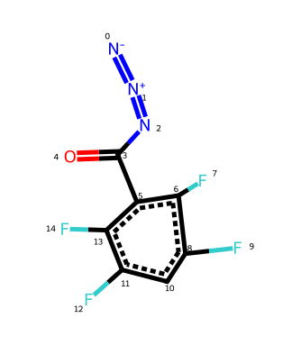 [N-]=[N+]=NC(=O)c1c(F)c(F)cc(F)c1F